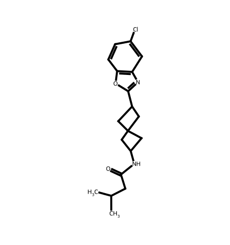 CC(C)CC(=O)NC1CC2(C1)CC(c1nc3cc(Cl)ccc3o1)C2